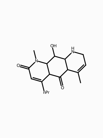 CCCC1=CC(=O)N(C)C2C1C(=O)C1C(C)=CCNC1C2O